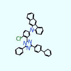 Clc1ccc(-n2c3ccccc3c3cc4ccccc4cc32)cc1-c1nc(-c2ccccc2)nc(-c2ccc(C3C=CC=CC3)cc2)n1